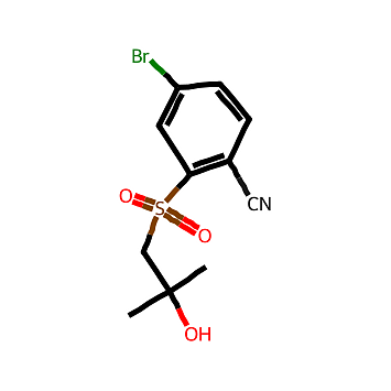 CC(C)(O)CS(=O)(=O)c1cc(Br)ccc1C#N